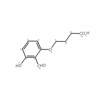 O=Cc1c(O)cccc1OCCCC(=O)O